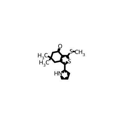 CSc1sc(-c2ccc[nH]2)c2c1C(=O)CC(C)(C)C2